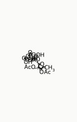 CC(=O)OC[C@H]1[C@@H](OC(C)=O)[C@H](C)O[C@@H]1COP(=O)(O)OP(=O)(O)OP(=O)(O)O